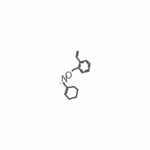 C=Cc1ccccc1CO/N=[C]\C1=CCCCC1